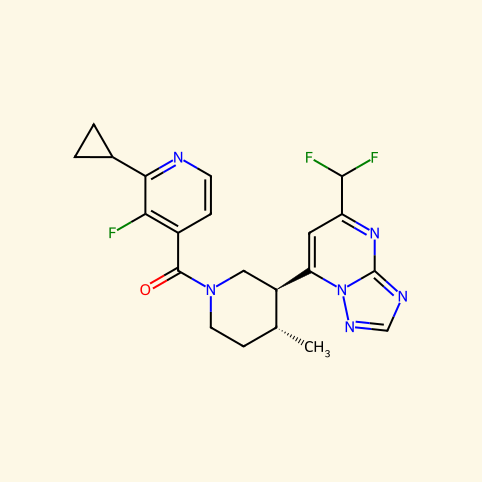 C[C@@H]1CCN(C(=O)c2ccnc(C3CC3)c2F)C[C@H]1c1cc(C(F)F)nc2ncnn12